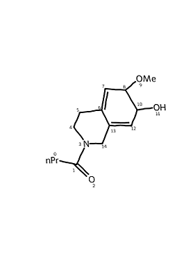 CCCC(=O)N1CCC2=CC(OC)C(O)C=C2C1